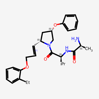 CCc1ccccc1OC/C=C/[C@@H]1C[C@H](Oc2ccccc2)CN1C(=O)[C@@H](NC(=O)[C@H](C)N)C(C)C